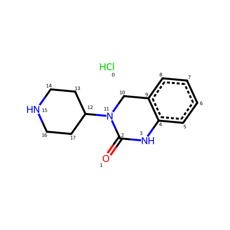 Cl.O=C1Nc2ccccc2CN1C1CCNCC1